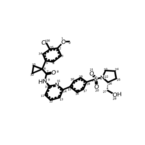 COc1ccc(C2(C(=O)Nc3cccc(-c4ccc(S(=O)(=O)N5CCC[C@@H]5CO)cc4)n3)CC2)cc1Cl